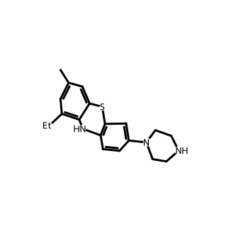 CCc1cc(C)cc2c1Nc1ccc(N3CCNCC3)cc1S2